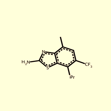 Cc1cc(C(F)(F)F)c(C(C)C)c2sc(N)nc12